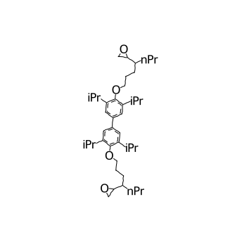 CCCC(CCCOc1c(C(C)C)cc(-c2cc(C(C)C)c(OCCCC(CCC)C3CO3)c(C(C)C)c2)cc1C(C)C)C1CO1